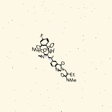 C=N/C(OC)=C(\C=C(/C)c1ccc2ncn(C[C@H](CC)C(=O)NC)c(=O)c2c1)NS(=O)(=O)c1ccc(F)cc1Cl